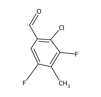 Cc1c(F)cc([C]=O)c(Cl)c1F